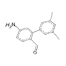 Cc1cc(C)cc(-c2cc(N)ccc2C=O)c1